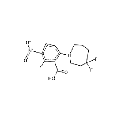 Cc1c([N+](=O)[O-])ccc(N2CCCC(F)(F)CC2)c1C(=O)O